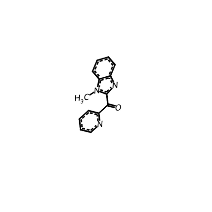 Cn1c(C(=O)c2ccccn2)nc2ccccc21